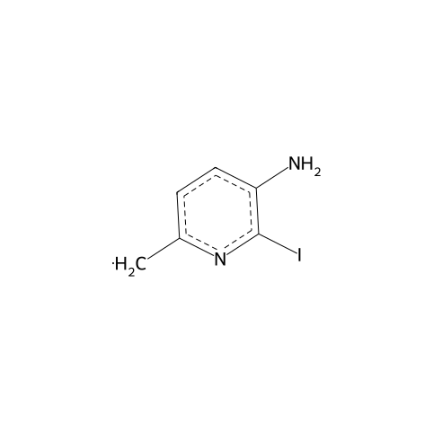 [CH2]c1ccc(N)c(I)n1